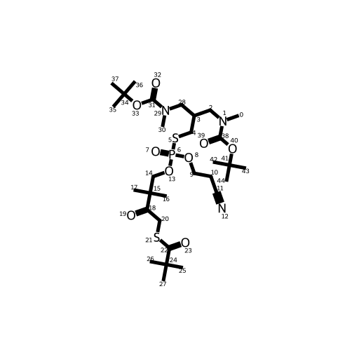 CN(CC(CSP(=O)(OCCC#N)OCC(C)(C)C(=O)CSC(=O)C(C)(C)C)CN(C)C(=O)OC(C)(C)C)C(=O)OC(C)(C)C